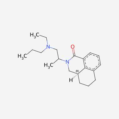 CCCN(CC)CC(C)N1C[C@@H]2CCCc3cccc(c32)C1=O